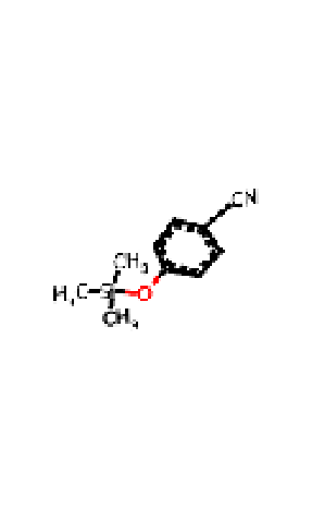 C[Si](C)(C)Oc1ccc(C#N)cc1